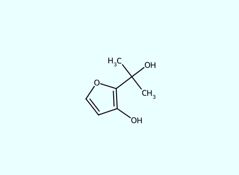 CC(C)(O)c1occc1O